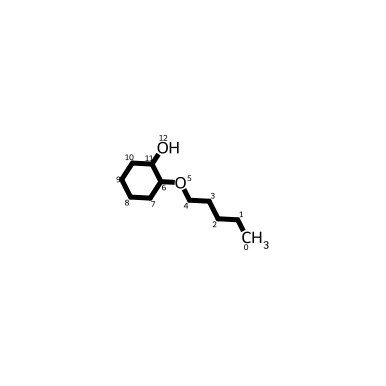 CCCCCOC1CCCCC1O